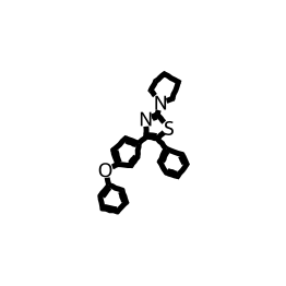 c1ccc(Oc2ccc(-c3nc(N4CCCCC4)sc3-c3ccccc3)cc2)cc1